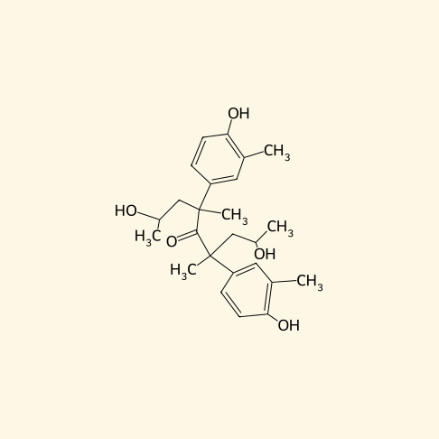 Cc1cc(C(C)(CC(C)O)C(=O)C(C)(CC(C)O)c2ccc(O)c(C)c2)ccc1O